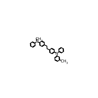 Cc1cccc(N(c2ccccc2)c2ccc(CCc3ccc(N(C)c4ccccc4)cc3)cc2)c1